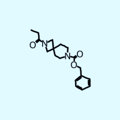 CCC(=O)N1CC2(CCN(C(=O)OCc3ccccc3)CC2)C1